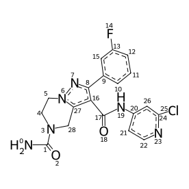 NC(=O)N1CCn2nc(-c3cccc(F)c3)c(C(=O)Nc3ccnc(Cl)c3)c2C1